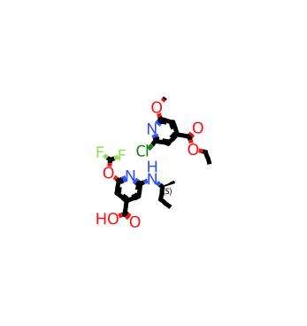 CCOC(=O)c1cc(Cl)nc(OC)c1.CC[C@H](C)Nc1cc(C(=O)O)cc(OC(F)F)n1